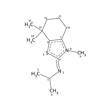 CC(C)/N=c1\sc2c(n1C)CCCC2(C)C